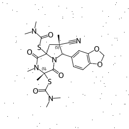 CN(C)C(=O)SC12C[C@](C)(C#N)C(c3ccc4c(c3)OCO4)N1C(=O)[C@](C)(SC(=O)N(C)C)N(C)C2=O